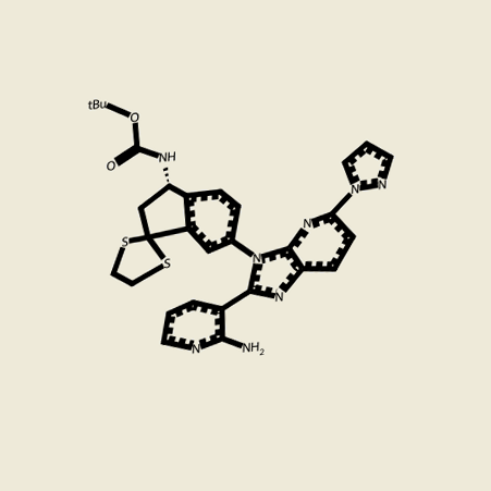 CC(C)(C)OC(=O)N[C@H]1CC2(SCCS2)c2cc(-n3c(-c4cccnc4N)nc4ccc(-n5cccn5)nc43)ccc21